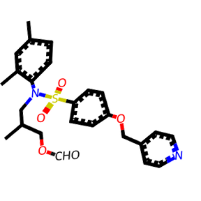 Cc1ccc(N(CC(C)COC=O)S(=O)(=O)c2ccc(OCc3ccncc3)cc2)c(C)c1